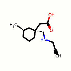 C#CCNC[C@]1(CC(=O)O)CCC[C@@H](C)C1